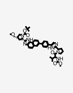 COC[C@H]1C[C@@H](c2nc3ccc4cc(-c5ccc(-c6cnc(C7CCCN7C(=O)C(NC(=O)OC)C(C)C)[nH]6)cc5)ccc4c3[nH]2)N(C(=O)OC(C)(C)C)C1